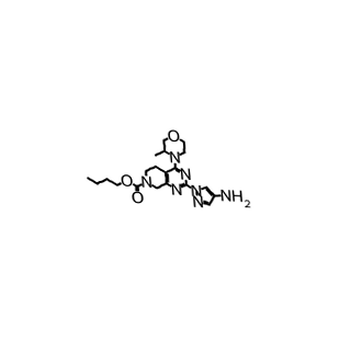 CCCCOC(=O)N1CCc2c(nc(-n3cc(N)cn3)nc2N2CCOCC2C)C1